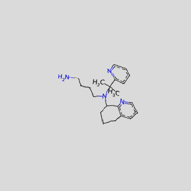 CC(C)(c1ccccn1)N(CCCCN)C1CCCc2cccnc21